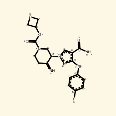 N=C1CCN(C(=O)OC2COC2)C[C@H]1n1cc(C(N)=O)c(Nc2ccc(F)cc2)n1